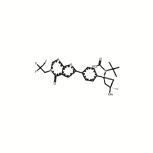 CC(C)(C)N(C(=O)O)[C@]1(c2ccc(-c3cc4c(=O)n(CC(F)(F)F)cnc4s3)cc2)C[C@](C)(O)C1